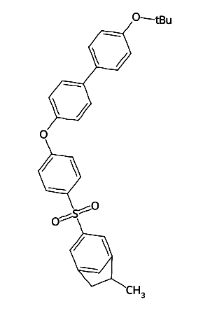 CC1Cc2cc1cc(S(=O)(=O)c1ccc(Oc3ccc(-c4ccc(OC(C)(C)C)cc4)cc3)cc1)c2